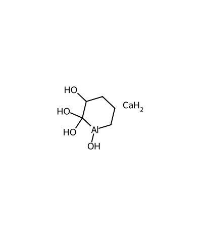 OC1CC[CH2][Al]([OH])[C]1(O)O.[CaH2]